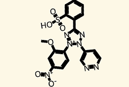 COc1cc([N+](=O)[O-])ccc1-[n+]1nc(-c2ccccc2S(=O)(=O)O)nn1-c1ccnnc1